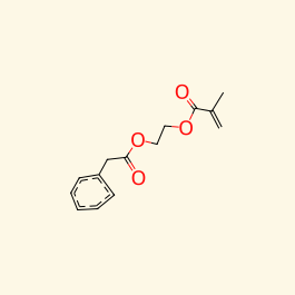 C=C(C)C(=O)OCCOC(=O)Cc1ccccc1